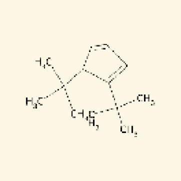 CC(C)(C)C1=CC=CC1C(C)(C)C